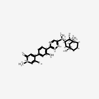 CN(c1cnc(-c2ccc(-c3cc(=O)n(C)cc3F)cc2O)nn1)[C@@H]1C[C@H]2CCC[C@](C)(C2)[C@@H]1F